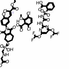 CCOC(=O)/C(Cl)=C/c1cc(N2C(=O)C3=C(CCCC3)C2=O)ccc1Cl.COc1c(Cl)ccc(Cl)c1C(=O)O.O=C(Nc1nc(OC(F)F)cc(OC(F)F)n1)NS(=O)(=O)c1ccccc1C(=O)O.O=C(O)CNCP(=O)(O)O